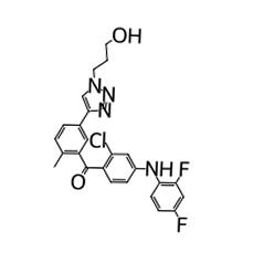 Cc1ccc(-c2cn(CCCO)nn2)cc1C(=O)c1ccc(Nc2ccc(F)cc2F)cc1Cl